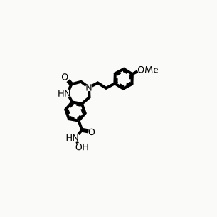 COc1ccc(CCN2CC(=O)Nc3ccc(C(=O)NO)cc3C2)cc1